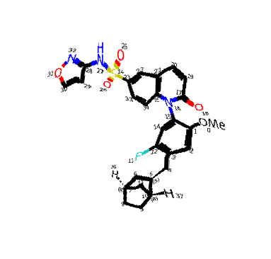 COc1cc(C[C@@H]2C[C@@H]3CC[C@@H]2C3)c(F)cc1-n1c(=O)ccc2cc(S(=O)(=O)Nc3ccon3)ccc21